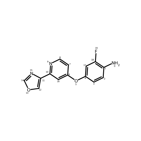 Nc1ccc(Oc2ccnc(-c3cocn3)c2)cc1F